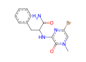 Cn1cc(Br)nc(NC(Cc2ccccc2)C(N)=O)c1=O